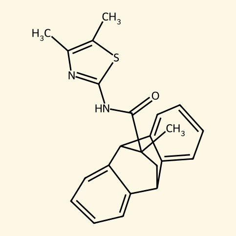 Cc1nc(NC(=O)C2(C)CC3c4ccccc4C2c2ccccc23)sc1C